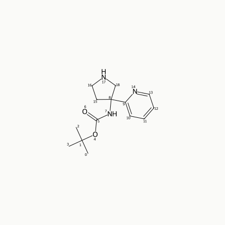 CC(C)(C)OC(=O)NC1(c2ccccn2)CCNC1